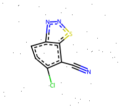 N#Cc1c(Cl)ccc2nnsc12